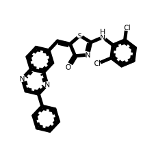 O=C1N=C(Nc2c(Cl)cccc2Cl)SC1=Cc1ccc2ncc(-c3ccccc3)nc2c1